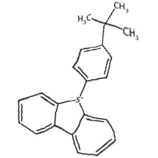 CC(C)(C)c1ccc(-[s+]2c3ccccc3c3ccccc32)cc1